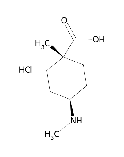 CN[C@H]1CC[C@](C)(C(=O)O)CC1.Cl